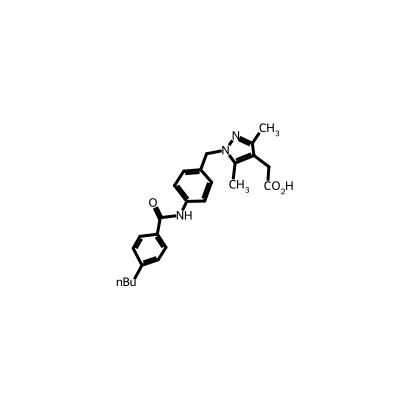 CCCCc1ccc(C(=O)Nc2ccc(Cn3nc(C)c(CC(=O)O)c3C)cc2)cc1